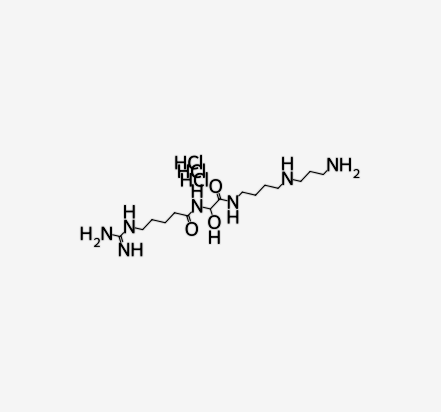 Cl.Cl.Cl.N=C(N)NCCCCC(=O)NC(O)C(=O)NCCCCNCCCN